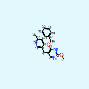 COc1ncc(Cc2ccc(C)nc2)c(OCc2ccccc2)n1